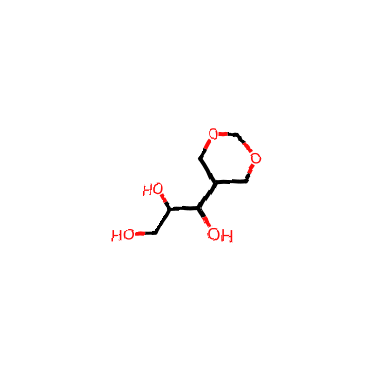 OCC(O)C(O)C1COCOC1